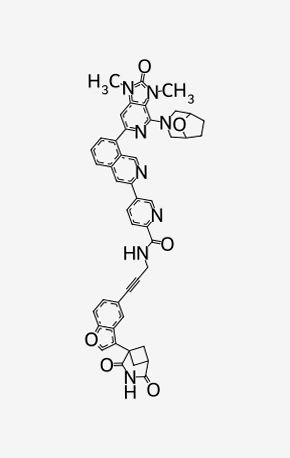 Cn1c(=O)n(C)c2c(N3CC4CCC(C3)O4)nc(-c3cccc4cc(-c5ccc(C(=O)NCC#Cc6ccc7occ(C89CC(C8)C(=O)NC9=O)c7c6)nc5)ncc34)cc21